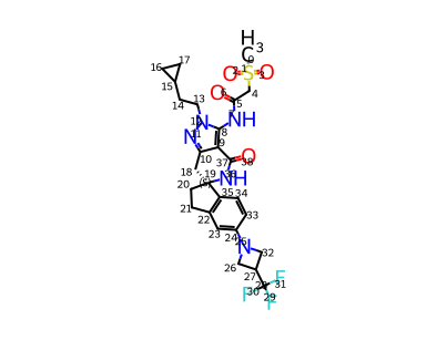 CS(=O)(=O)CC(=O)Nc1c2c(nn1CCC1CC1)C[C@]1(CCc3cc(N4CC(C(F)(F)F)C4)ccc31)NC2=O